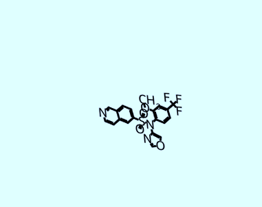 COc1cc(C(F)(F)F)ccc1N(c1cocn1)S(=O)(=O)c1ccc2cnccc2c1